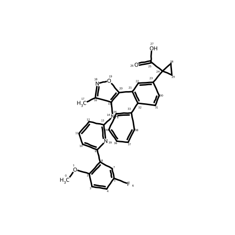 COc1ccc(F)cc1-c1cccc(Nc2c(C)noc2-c2cc(C3(C(=O)O)CC3)ccc2-c2ccccc2)n1